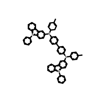 CC1=CCC(N(c2ccc(-c3ccc(N(c4ccc(C)cc4)c4ccc5c(c4)c4ccccc4n5-c4ccccc4)cc3)cc2)c2ccc3c(c2)c2ccccc2n3-c2ccccc2)C=C1